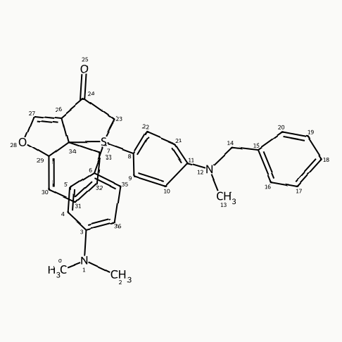 CN(C)c1ccc(S2(c3ccc(N(C)Cc4ccccc4)cc3)CC(=O)C3=COC4=CC=CCC432)cc1